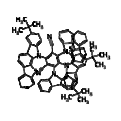 CC(C)(C)c1ccc2c(c1)c1ccc3c4ccccc4sc3c1n2-c1c(C#N)c(-n2c3ccccc3c3ccccc32)c(-n2c3ccc(C(C)(C)C)cc3c3cc(C(C)(C)C)c4c5ccccc5sc4c32)c(-n2c3ccccc3c3ccccc32)c1C#N